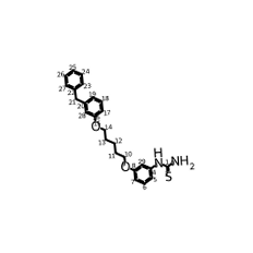 NC(=S)Nc1cccc(OCCCCCOc2cccc(Cc3ccccc3)c2)c1